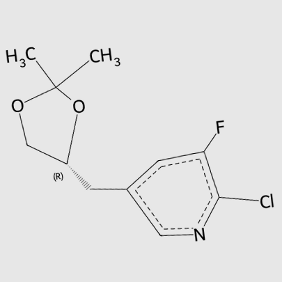 CC1(C)OC[C@@H](Cc2cnc(Cl)c(F)c2)O1